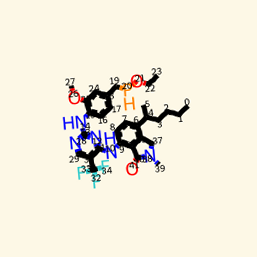 CCCCC(C)c1ccc(Nc2nc(Nc3ccc(CPOCC)cc3OC)ncc2C(F)(F)F)c2c1CN(C)C2=O